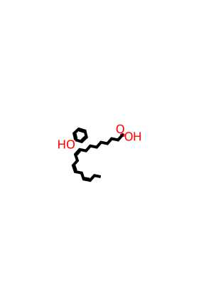 CC/C=C\C/C=C\C/C=C\CCCCCCCC(=O)O.Oc1ccccc1